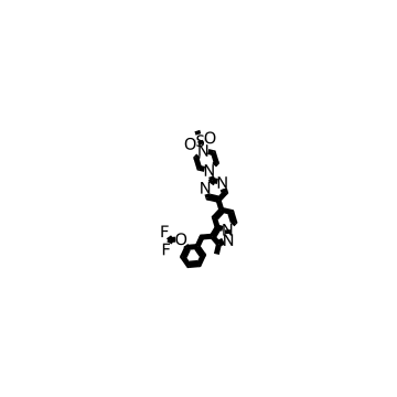 Cc1nn2ccc(-c3cnc(N4CCN(S(C)(=O)=O)CC4)nc3)cc2c1Cc1ccccc1OC(F)F